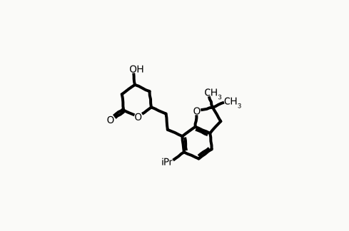 CC(C)c1ccc2c(c1CCC1CC(O)CC(=O)O1)OC(C)(C)C2